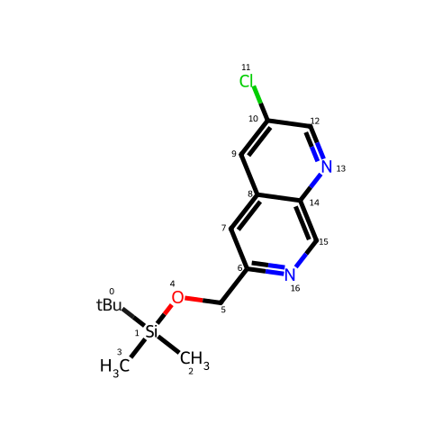 CC(C)(C)[Si](C)(C)OCc1cc2cc(Cl)cnc2cn1